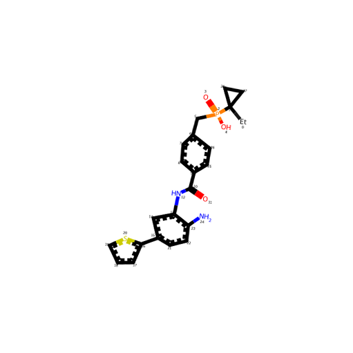 CCC1(P(=O)(O)Cc2ccc(C(=O)Nc3cc(-c4cccs4)ccc3N)cc2)CC1